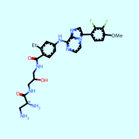 CCc1cc(Nc2nccn3c(-c4ccc(OC)c(F)c4F)cnc23)ccc1C(=O)NCC(O)CNC(=O)[C@@H](N)CN